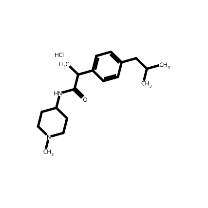 CC(C)Cc1ccc(C(C)C(=O)NC2CCN(C)CC2)cc1.Cl